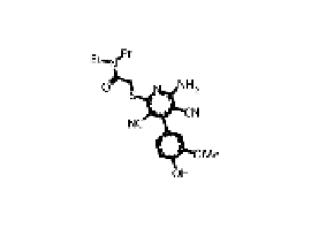 CCN(CC)C(=O)CSc1nc(N)c(C#N)c(-c2ccc(O)c(OC)c2)c1C#N